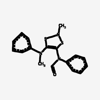 CN1SC(N(C)c2ccccc2)=C(N(C=O)c2ccccc2)S1